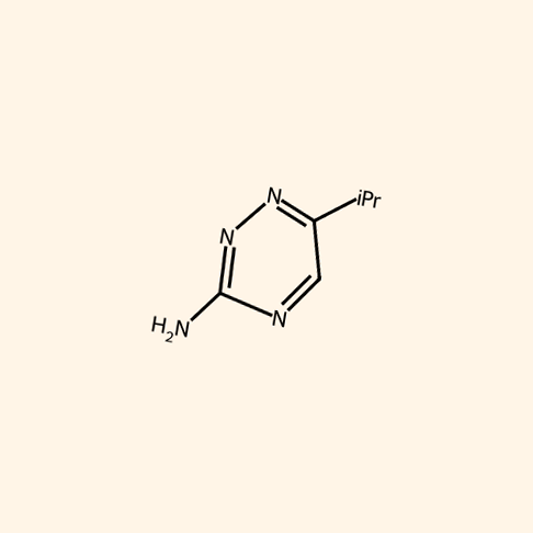 CC(C)c1cnc(N)nn1